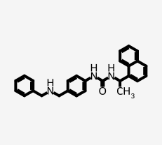 CC(NC(=O)Nc1ccc(CNCc2ccccc2)cc1)c1cccc2ccccc12